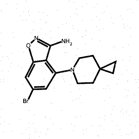 Nc1noc2cc(Br)cc(N3CCC4(CC3)CC4)c12